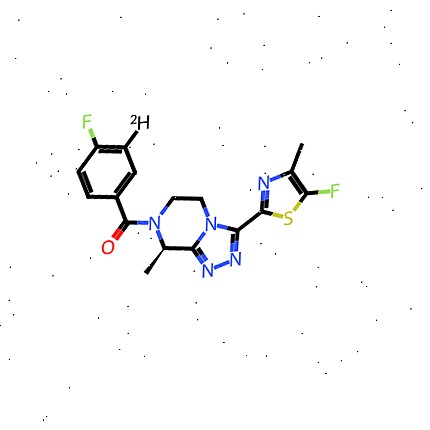 [2H]c1cc(C(=O)N2CCn3c(-c4nc(C)c(F)s4)nnc3[C@H]2C)ccc1F